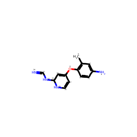 Cc1cc(N)ccc1OC1=CC(NC=N)NC=C1